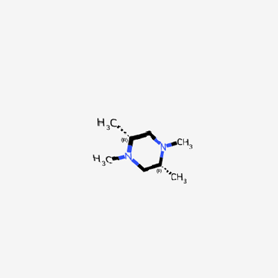 C[C@@H]1CN(C)[C@H](C)CN1C